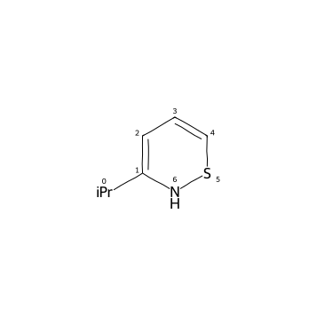 CC(C)C1=CC=CSN1